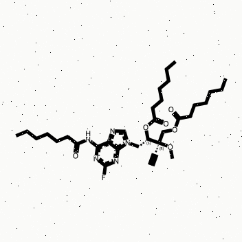 C#C[C@](COC(=O)CCCCCC)(OC)[C@H](Cn1cnc2c(NC(=O)CCCCCC)nc(F)nc21)OC(=O)CCCCCC